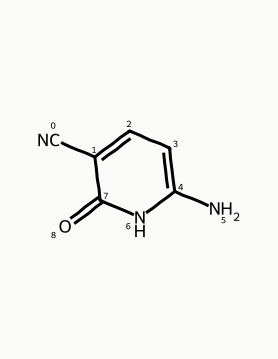 N#Cc1ccc(N)[nH]c1=O